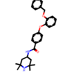 CC1(C)CC(NC(=O)c2ccc(Oc3ccccc3OCc3ccccc3)cc2)CC(C)(C)N1